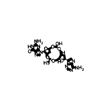 Nc1nc2c(ncn2[C@@H]2OC3C[C@H]2OP(S)OC[C@H]2O[C@@H](c4cnc5c(N)ncnn45)C[C@@H]2COC(O)O3)c(=O)[nH]1